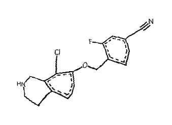 N#Cc1ccc(COc2ccc3c(c2Cl)CNCC3)c(F)c1